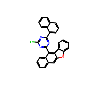 Clc1nc(-c2cccc3ccccc23)nc(-c2c3ccccc3cc3oc4ccccc4c23)n1